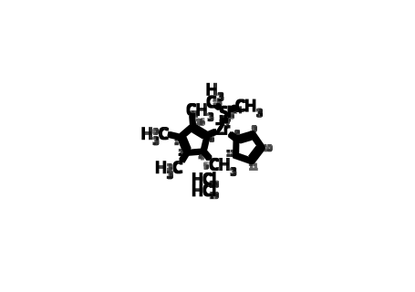 CC1=C(C)C(C)[C]([Zr]([C]2=CC=CC2)=[Si](C)C)=C1C.Cl.Cl